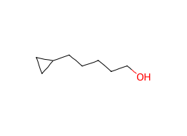 OCCCCCC1CC1